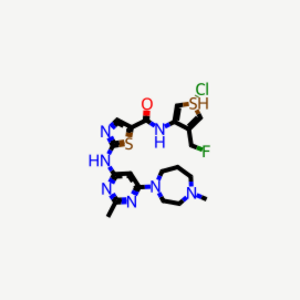 Cc1nc(Nc2ncc(C(=O)NC3=C[SH](Cl)C=C3CF)s2)cc(N2CCCN(C)CC2)n1